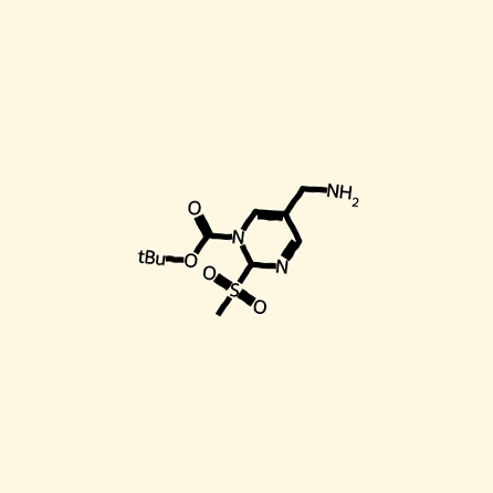 CC(C)(C)OC(=O)N1C=C(CN)C=NC1S(C)(=O)=O